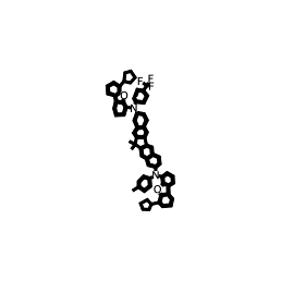 Cc1ccc(N(c2ccc3cc4c(cc3c2)C(C)(C)c2cc3cc(N(c5ccc(C(F)(F)F)cc5)c5cccc6c5oc5c(C7CCCC7)cccc56)ccc3cc2-4)c2cccc3c2oc2c(C4CCCC4)cccc23)cc1